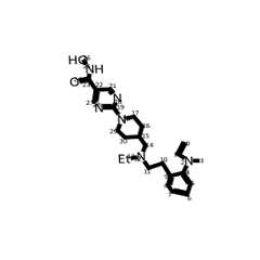 C=CN(C)c1ccccc1CCN(CC)CC1CCN(c2ncc(C(=O)NO)cn2)CC1